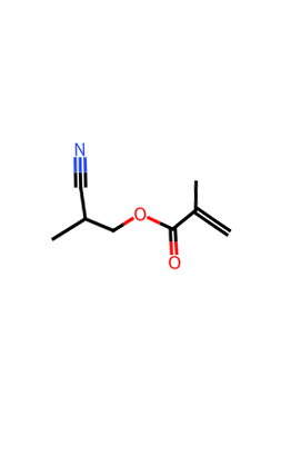 C=C(C)C(=O)OCC(C)C#N